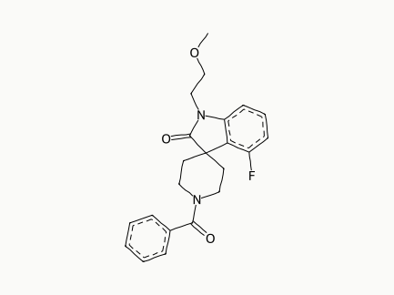 COCCN1C(=O)C2(CCN(C(=O)c3ccccc3)CC2)c2c(F)cccc21